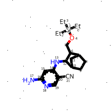 CC[Si](CC)(CC)OCC1C2CCC(C2)C1Nc1cc(N)ncc1C#N